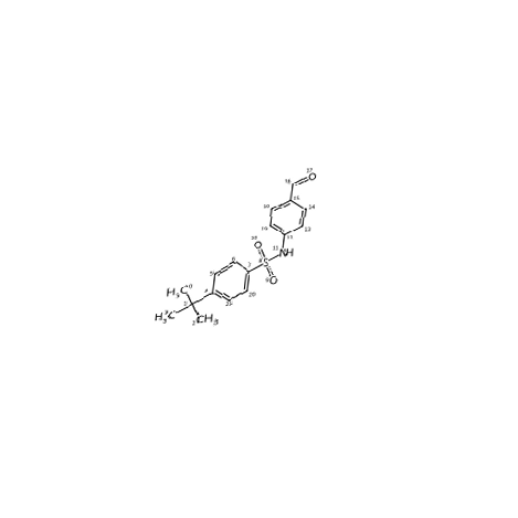 CC(C)(C)c1ccc(S(=O)(=O)Nc2ccc([C]=O)cc2)cc1